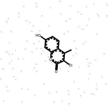 CCc1c(C)c2ccc(O)cc2oc1=O